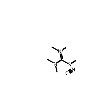 CSC(N(C)C)=[N+](C)C.[C-]#N